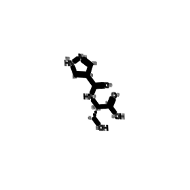 O=C(N[C@@H](CO)C(=O)O)c1cn[nH]c1